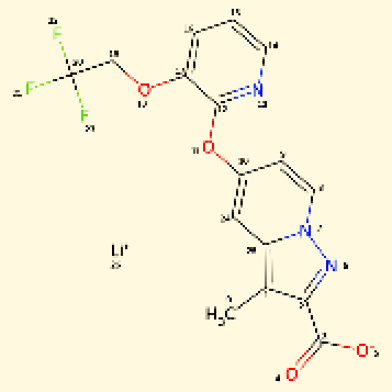 Cc1c(C(=O)[O-])nn2ccc(Oc3ncccc3OCC(F)(F)F)cc12.[Li+]